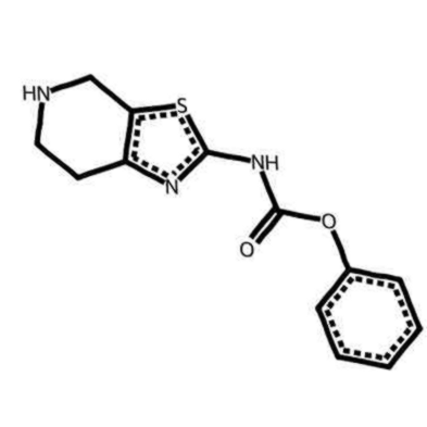 O=C(Nc1nc2c(s1)CNCC2)Oc1ccccc1